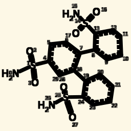 NS(=O)(=O)c1ccc(-c2ccccc2S(N)(=O)=O)c(-c2ccccc2S(N)(=O)=O)c1